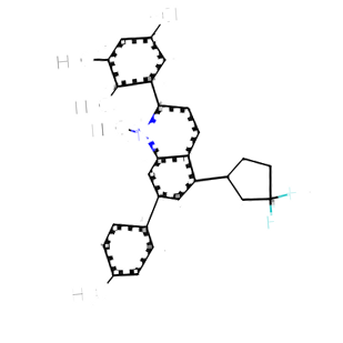 Cc1ccc(-c2cc(C3CCC(F)(F)C3)c3ccc(-c4cc(C)cc(C)c4C)[n+](C)c3c2)cc1